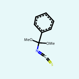 COC(N=C=S)(OC)c1ccccc1